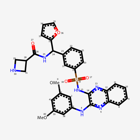 COc1cc(Nc2nc3ccccc3nc2NS(=O)(=O)c2cccc(C(NC(=O)C3CNC3)c3ccco3)c2)cc(OC)c1